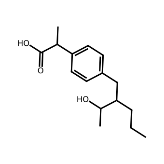 CCCC(Cc1ccc(C(C)C(=O)O)cc1)C(C)O